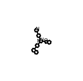 c1cncc(-c2ccc(-c3nc(-c4ccc(-c5cccc6ccccc56)cc4)cc(-c4cc5ccccc5o4)n3)cc2)c1